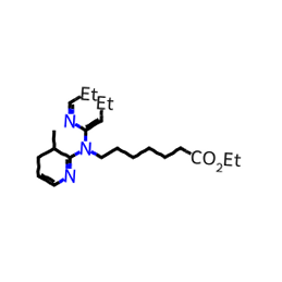 CC/C=N\C(=C/CC)N(CCCCCCC(=O)OCC)C1=NC=CCC1C